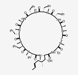 C/C=C/C[C@@H](C)[C@@H](O)[C@H]1C(=O)N[C@@H](CC)C(=O)N(C)CC(=O)N(C)[C@H](C)C(=O)N[C@@H](CC(C)C)C(=O)N(C)[C@@H](CC(C)C)C(=O)N[C@@H](CC(C)C)C(=O)N[C@H](C)C(=O)N(C)[C@@H](CC(C)C)C(=O)N(C)[C@H](CC(C)C)C(=O)N(C)[C@@H](C(C)C)C(=O)N1C